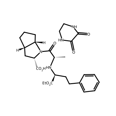 CCOC(=O)[C@H](CCc1ccccc1)N[C@@H](C)C(=O)N1[C@H](C(=O)O)C[C@@H]2CCC[C@@H]21.O=C1NCCNC1=O